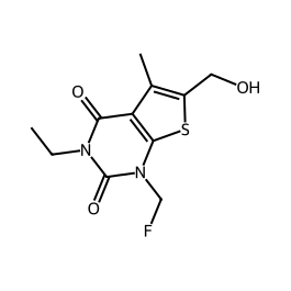 CCn1c(=O)c2c(C)c(CO)sc2n(CF)c1=O